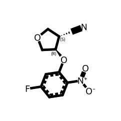 N#C[C@H]1COC[C@@H]1Oc1cc(F)ccc1[N+](=O)[O-]